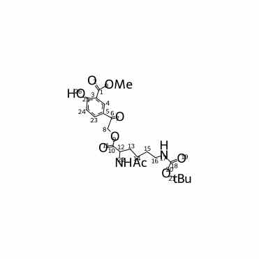 COC(=O)c1cc(C(=O)COC(=O)C(CCCCNC(=O)OC(C)(C)C)NC(C)=O)ccc1O